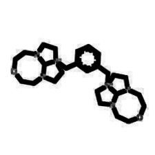 c1cc(C[N+]23CCN4CCOCCN(CC2)C43)cc(C[N+]23CCN4CCOCCN(CC2)C43)c1